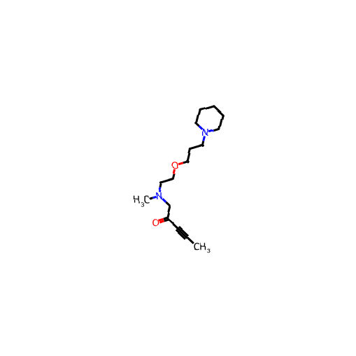 CC#CC(=O)CN(C)CCOCCCN1CCCCC1